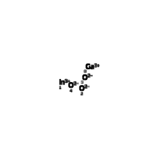 [Ga+3].[In+3].[O-2].[O-2].[O-2]